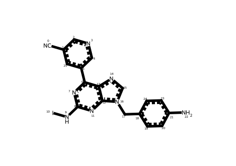 N#Cc1cncc(-c2nc(NI)nc3c2ncn3Cc2ccc(N)cc2)c1